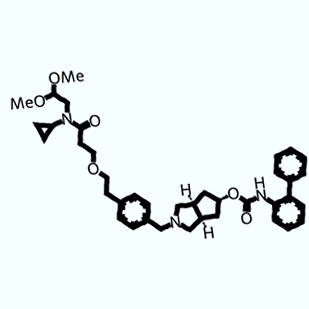 COC(CN(C(=O)CCOCCc1ccc(CN2C[C@H]3C[C@@H](OC(=O)Nc4ccccc4-c4ccccc4)C[C@H]3C2)cc1)C1CC1)OC